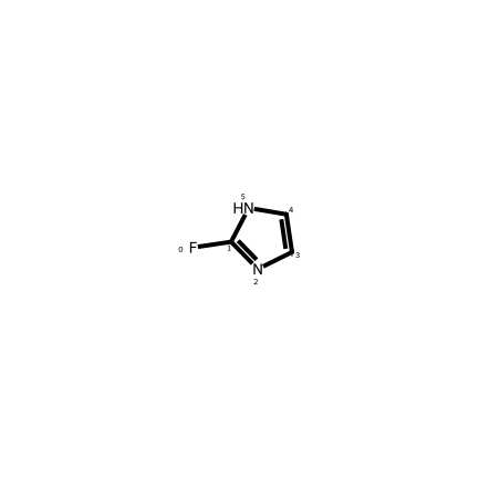 Fc1n[c]c[nH]1